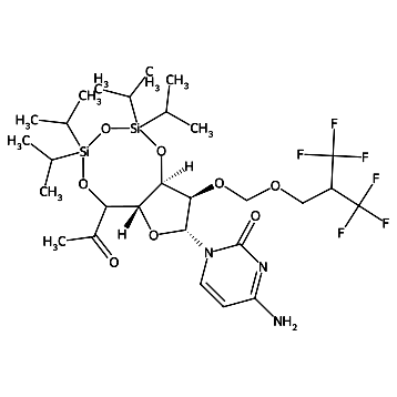 CC(=O)C1O[Si](C(C)C)(C(C)C)O[Si](C(C)C)(C(C)C)O[C@H]2[C@@H](OCOCC(C(F)(F)F)C(F)(F)F)[C@H](n3ccc(N)nc3=O)O[C@H]12